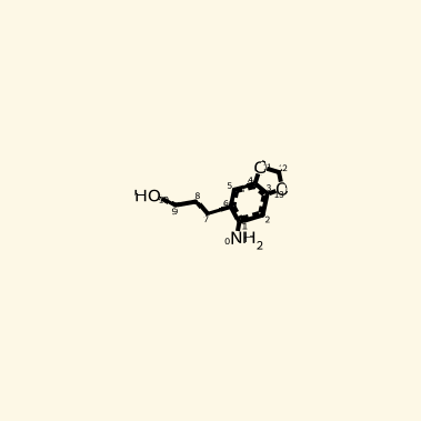 Nc1cc2c(cc1CCCO)OCO2